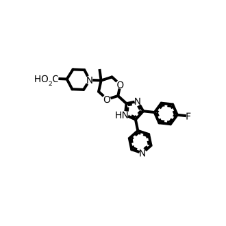 CC1(N2CCC(C(=O)O)CC2)COC(c2nc(-c3ccc(F)cc3)c(-c3ccncc3)[nH]2)OC1